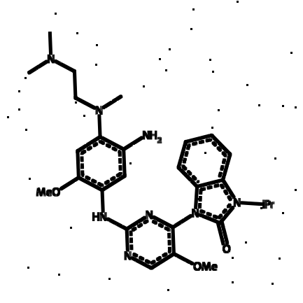 COc1cc(N(C)CCN(C)C)c(N)cc1Nc1ncc(OC)c(-n2c(=O)n(C(C)C)c3ccccc32)n1